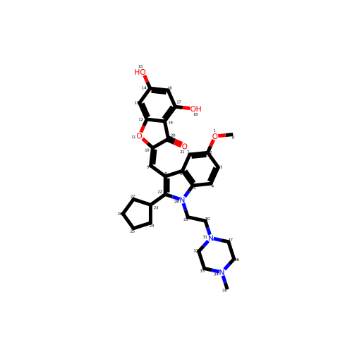 COc1ccc2c(c1)c(C=C1Oc3cc(O)cc(O)c3C1=O)c(C1CCCC1)n2CCN1CCN(C)CC1